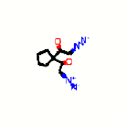 [N-]=[N+]=CC(=O)C1(C(=O)C=[N+]=[N-])CCCC1